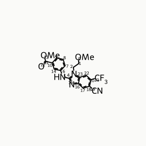 COCCn1c(Nc2cccc(C(=O)OC)c2)nc2cc(C#N)c(C(F)(F)F)cc21